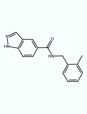 Cc1ccccc1CNC(=O)c1ccc2[nH]ncc2c1